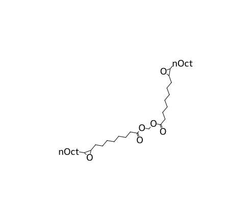 CCCCCCCCC1OC1CCCCCCCC(=O)OCOC(=O)CCCCCCCC1OC1CCCCCCCC